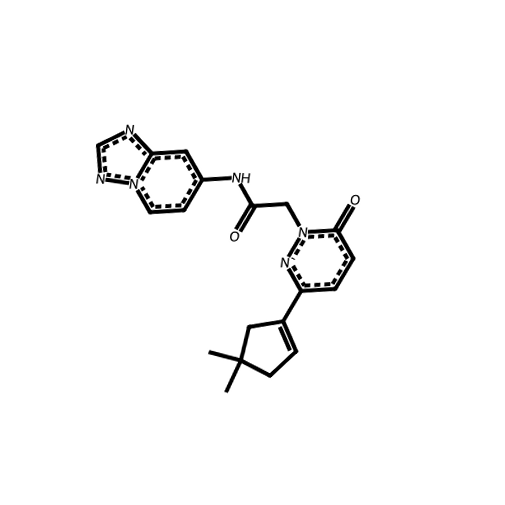 CC1(C)CC=C(c2ccc(=O)n(CC(=O)Nc3ccn4ncnc4c3)n2)C1